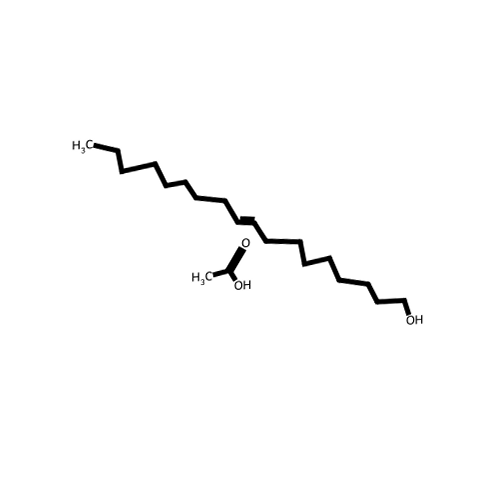 CC(=O)O.CCCCCCCCC=CCCCCCCCCO